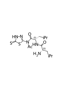 CC(=O)N(C(=O)[C@H](CC(C)C)NC(=O)[C@@H](N)CC(C)C)c1n[nH]c(=S)s1